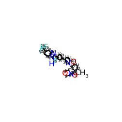 C[C@]1(C(=O)N2CCOCC2)CC[C@@H](Oc2ccc(-c3ccc(-c4nc5cc(C(F)(F)F)ccc5[nH]4)c(F)c3)cn2)CC1